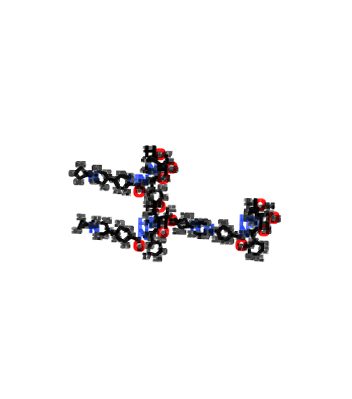 O=C(N[C@H](C(=O)N1CC[C@H]2OCC(=O)[C@H]21)C1CCCCC1)c1ccc(C2CCN(C3CC3)CC2)cc1.O=C(N[C@H](C(=O)N1CC[C@H]2OCC(=O)[C@H]21)C1CCCCC1)c1ccc(C2CCN(C3CCC3)CC2)cc1.O=C(N[C@H](C(=O)N1CC[C@H]2OCC(=O)[C@H]21)C1CCCCC1)c1ccc(N2CCN(C3CCC3)CC2)cc1